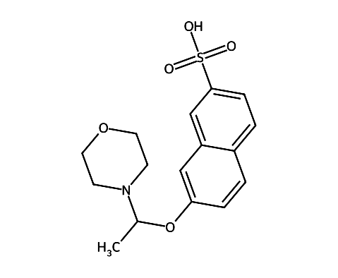 CC(Oc1ccc2ccc(S(=O)(=O)O)cc2c1)N1CCOCC1